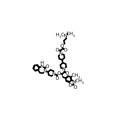 Cc1cc(C[C@@H](OC(=O)N2CCC(N3CCc4ccccc4NC3=O)CC2)C(=O)N2CCC(C3CCN(C(=O)C(=O)OCCCN(C)C)CC3)CC2)cc2oc(=O)n(C)c12